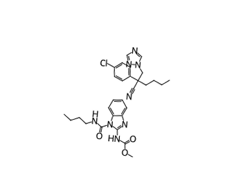 CCCCC(C#N)(Cn1cncn1)c1ccc(Cl)cc1.CCCCNC(=O)n1c(NC(=O)OC)nc2ccccc21